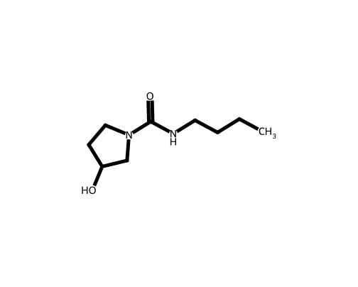 CCCCNC(=O)N1CCC(O)C1